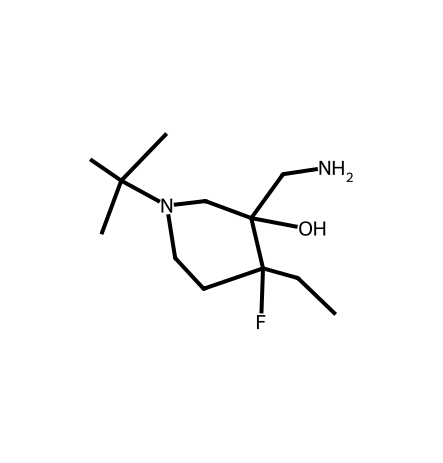 CCC1(F)CCN(C(C)(C)C)CC1(O)CN